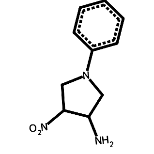 NC1CN(c2ccccc2)CC1[N+](=O)[O-]